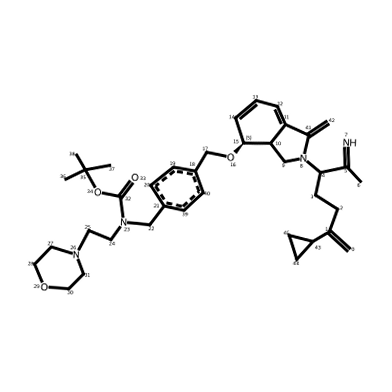 C=C(CCC(C(C)=N)N1CC2C(=CC=C[C@@H]2OCc2ccc(CN(CCN3CCOCC3)C(=O)OC(C)(C)C)cc2)C1=C)C1CC1